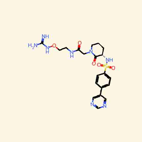 N=C(N)NOCCNC(=O)CN1CCC[C@H](NS(=O)(=O)c2ccc(-c3cncnc3)cc2)C1=O